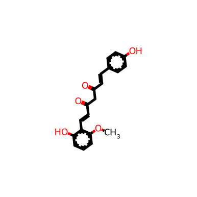 COc1cccc(O)c1C=CC(=O)CC(=O)C=Cc1ccc(O)cc1